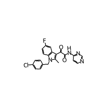 Cc1c(C(=O)C(=O)Nc2ccncn2)c2cc(F)ccc2n1Cc1ccc(Cl)cc1